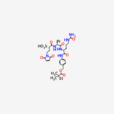 CCC(C)(C)C(=O)OCc1ccc(NC(=O)[C@H](CCCNC(N)=O)NC(=O)[C@@H](NC(=O)[C@H](CCN2C(=O)C=CC2=O)S(=O)(=O)O)C(C)C)cc1